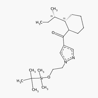 CC[C@H](C)[C@@H]1CCCCC1C(=O)c1cnn(CCO[Si](C)(C)C(C)(C)C)c1